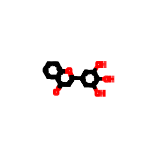 O=c1cc(-c2cc(O)c(O)c(O)c2)oc2ccccc12